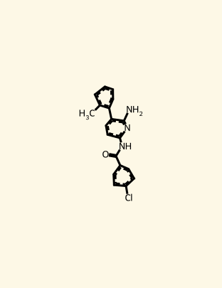 Cc1ccccc1-c1ccc(NC(=O)c2ccc(Cl)cc2)nc1N